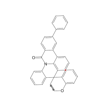 O=c1c2ccc(-c3ccccc3)cc2c2cccc3c2n1-c1ccccc1C31c2ccccc2Oc2ccccc21